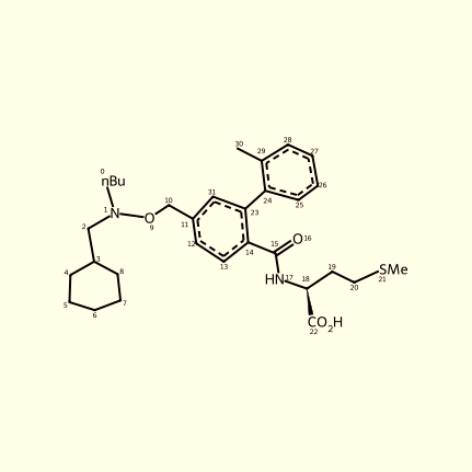 CCCCN(CC1CCCCC1)OCc1ccc(C(=O)N[C@@H](CCSC)C(=O)O)c(-c2ccccc2C)c1